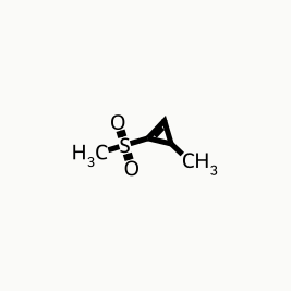 CC1C=C1S(C)(=O)=O